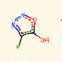 Oc1onnc1F